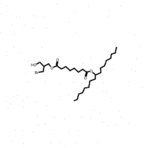 CCCCCCCCC(CCCCCCCC)OC(=O)CCCCCCC(=O)OCC(CO)CBr